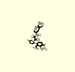 Cc1cc(NC(=O)C(=O)N2C[C@H](C)CC[C@H]2c2ccc(F)c(N)c2C=N)cnc1N